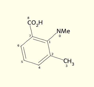 CNc1c(C)cccc1C(=O)O